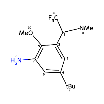 CNC(c1cc(C(C)(C)C)cc(N)c1OC)C(F)(F)F